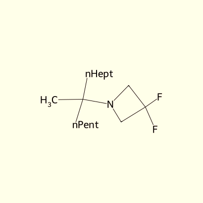 CCCCCCCC(C)(CCCCC)N1CC(F)(F)C1